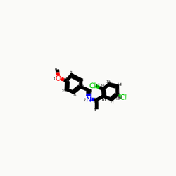 COc1ccc(C=NC(C)c2cc(Cl)ccc2Cl)cc1